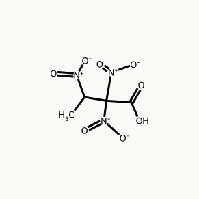 CC([N+](=O)[O-])C(C(=O)O)([N+](=O)[O-])[N+](=O)[O-]